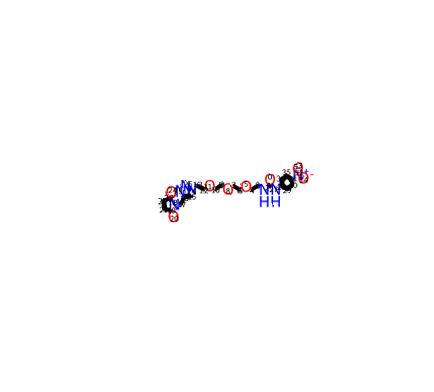 O=C(NCCOCCOCCOCCn1cc(CN2C(=O)C=CC2=O)nn1)Nc1ccc([N+](=O)[O-])cc1